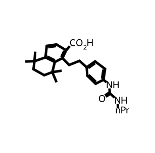 CCCNC(=O)Nc1ccc(CCc2c(C(=O)O)ccc3c2C(C)(C)CCC3(C)C)cc1